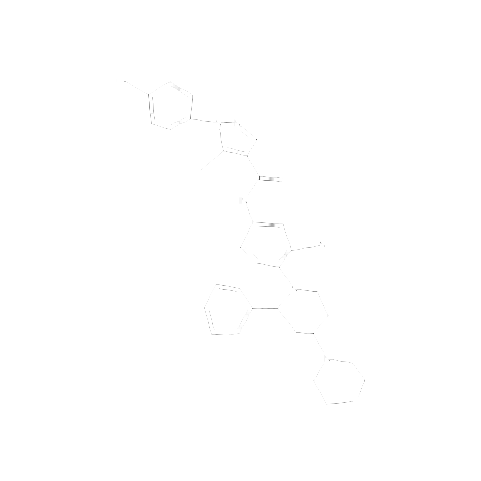 Cc1c(C(=O)Nc2ccc(N3CCC(N4CCOCC4)CC3c3ccccc3)c([N+](=O)[O-])c2)cnn1-c1ccc(Cl)cc1